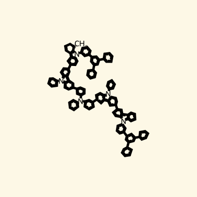 C[C@@H]1CC=Cc2c1n(-c1cccc(-c3cc(-c4ccccc4)cc(-c4ccccc4)c3)c1)c1ccc(-c3ccc4c(c3)c3cc(-c5cccc(N(c6ccccc6)c6cccc(-c7ccc8c(c7)c7cc(-c9ccc%10c(c9)c9ccccc9n%10-c9cccc(-c%10cc(-c%11ccccc%11)cc(-c%11ccccc%11)c%10)c9)ccc7n8-c7ccccc7)c6)c5)ccc3n4-c3ccccc3)cc21